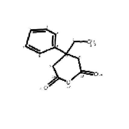 CCC1(c2ccccc2)CC(=O)OC(=O)C1